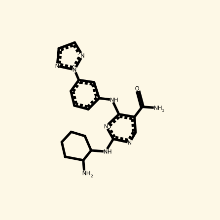 NC(=O)c1cnc(NC2CCCCC2N)nc1Nc1cccc(-n2nccn2)c1